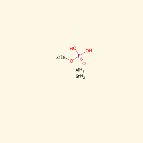 O=P(O)(O)[O][Ta].[AlH3].[SrH2].[Zr]